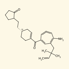 C=CC(C)(C)CC1=C(N)C=C=CC(C(=O)C2=CC[C@@H](CCC3CCCC3=O)CC2)=C1